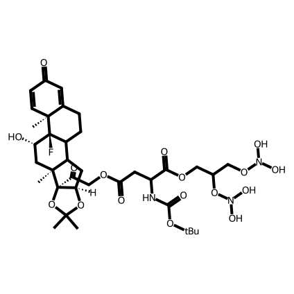 CC(C)(C)OC(=O)NC(CC(=O)OCC(=O)[C@@]12OC(C)(C)O[C@@H]1CC1C3CCC4=CC(=O)C=C[C@]4(C)[C@@]3(F)[C@@H](O)C[C@@]12C)C(=O)OCC(CON(O)O)ON(O)O